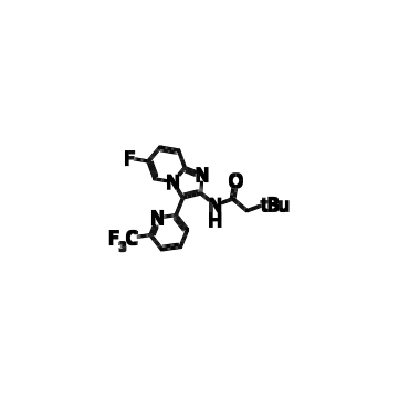 CC(C)(C)CC(=O)Nc1nc2ccc(F)cn2c1-c1cccc(C(F)(F)F)n1